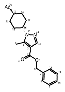 Cc1c(C(=O)OCc2ccccc2)cnn1[C@H]1CC[C@H](C(C)=O)CC1